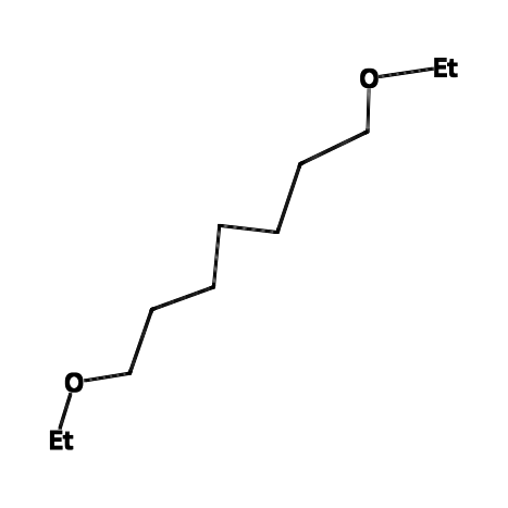 CCOCCCCCCCOCC